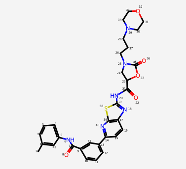 Cc1cccc(NC(=O)c2cccc(-c3ccc4nc(NC(=O)C5CN(CCCN6CCOCC6)C(=O)O5)sc4n3)c2)c1